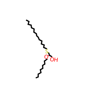 CCCCCCCCCCCCCCCCSCC(CO)OCCCCCCCCCC